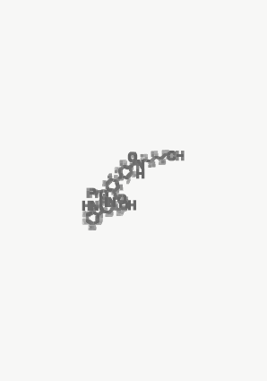 CC(C)Oc1ccc(-c2ccc(C(=O)NCCCCCO)cc2)cc1C(=O)N[C@@H](CO)Cc1c[nH]c2ccccc12